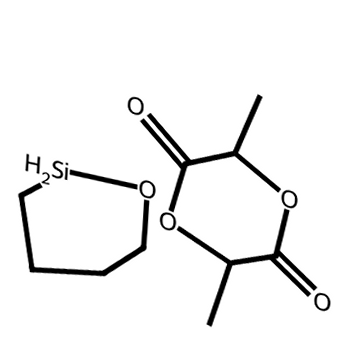 C1CC[SiH2]OC1.CC1OC(=O)C(C)OC1=O